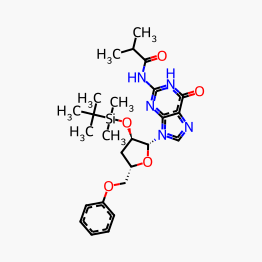 CC(C)C(=O)Nc1nc2c(ncn2[C@@H]2O[C@H](COc3ccccc3)C[C@H]2O[Si](C)(C)C(C)(C)C)c(=O)[nH]1